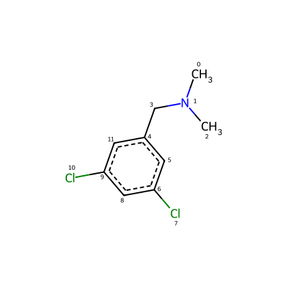 CN(C)Cc1cc(Cl)cc(Cl)c1